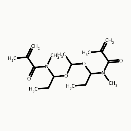 C=C(C)C(=O)N(C)C(CC)OC(C)OC(CC)N(C)C(=O)C(=C)C